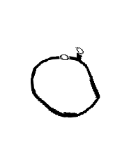 O=C1CC=CCCC=CCCCCCCCO1